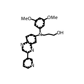 COc1cc(OC)cc(N(CCCO)c2ccc3ncc(-c4cccnc4)nc3c2)c1